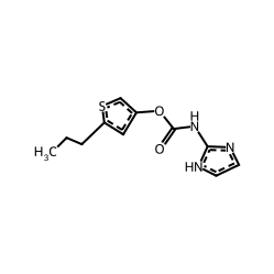 CCCc1cc(OC(=O)Nc2ncc[nH]2)cs1